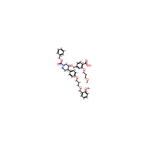 COCCCOc1cc(COC2CN(C(=O)OCc3ccccc3)CCC2c2ccc(OCCCOCc3ccccc3OC)cc2)ccc1C(=O)O